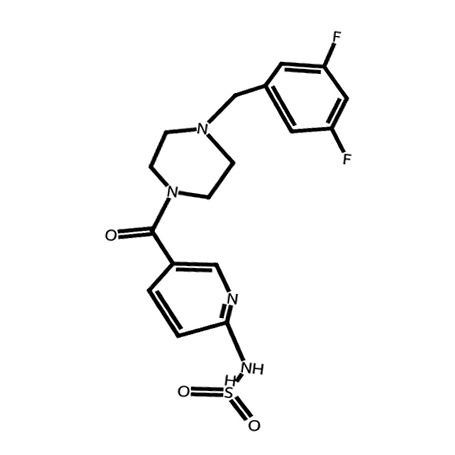 O=C(c1ccc(N[SH](=O)=O)nc1)N1CCN(Cc2cc(F)cc(F)c2)CC1